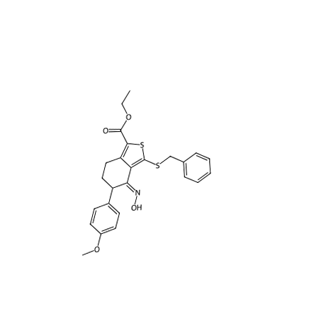 CCOC(=O)c1sc(SCc2ccccc2)c2c1CCC(c1ccc(OC)cc1)/C2=N\O